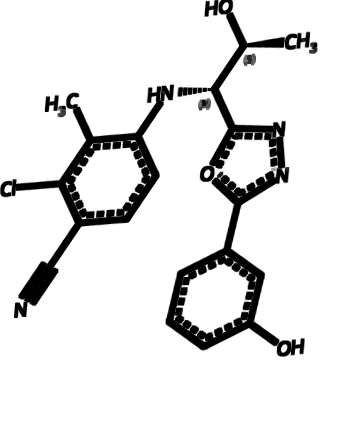 Cc1c(N[C@@H](c2nnc(-c3cccc(O)c3)o2)[C@H](C)O)ccc(C#N)c1Cl